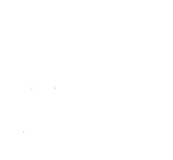 CC(C(=O)OCC(O)CO)c1cccc(Nc2nc(N)c3cc(Br)ccc3n2)c1